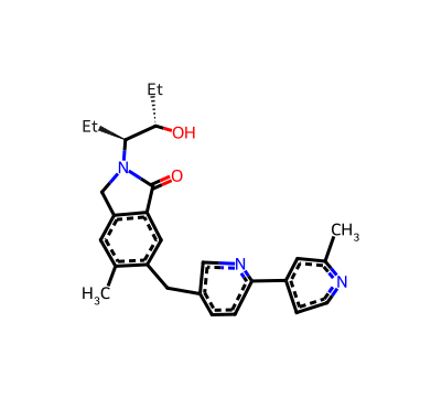 CC[C@H](O)[C@H](CC)N1Cc2cc(C)c(Cc3ccc(-c4ccnc(C)c4)nc3)cc2C1=O